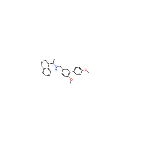 COc1ccc(-c2cc(CN[C@H](C)c3cccc4ccccc34)ccc2OC)cc1